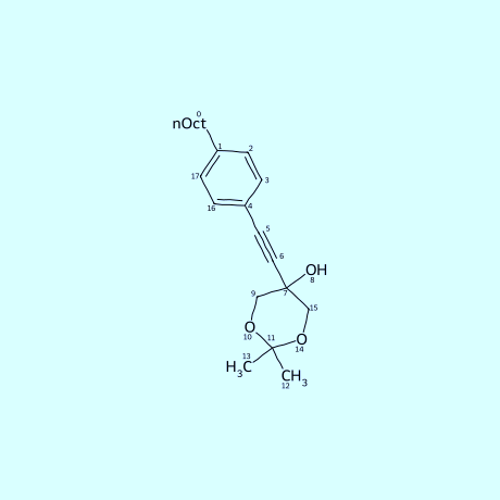 CCCCCCCCc1ccc(C#CC2(O)COC(C)(C)OC2)cc1